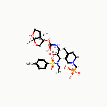 COc1ccc(S(=O)(=O)N(CC(C)C)C[C@@H](O)[C@H](CC2=CCN(CP(=O)(O)O)CC2)NC(=O)O[C@H]2CO[C@H]3OCC[C@H]32)cc1